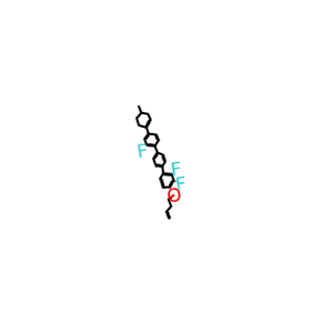 C=CCCOc1ccc(-c2ccc(-c3ccc(C4=CCC(C)CC4)cc3F)cc2)c(F)c1F